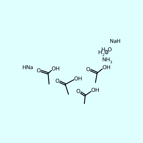 CC(=O)O.CC(=O)O.CC(=O)O.CC(=O)O.N.O.O.[NaH].[NaH]